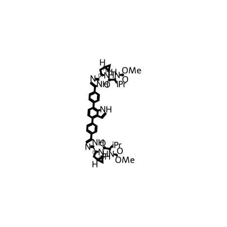 COC(=O)NC(C(=O)N1[C@@H]2C[C@@H]2C[C@H]1c1ncc(-c2ccc(-c3ccc(-c4ccc(-c5cnc([C@@H]6C[C@H]7C[C@H]7N6C(=O)C(NC(=O)OC)C(C)C)[nH]5)cc4)c4[nH]ccc34)cc2)[nH]1)C(C)C